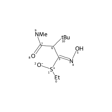 CC[S+]([O-])C(=NO)C(C(=O)NC)C(C)(C)C